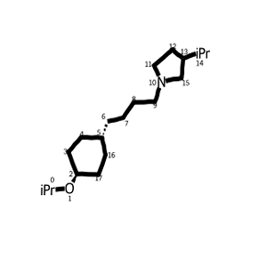 CC(C)O[C@H]1CC[C@H](CCCCN2CCC(C(C)C)C2)CC1